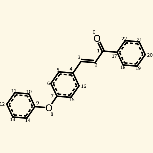 O=C(C=Cc1ccc(Oc2ccccc2)cc1)c1ccccc1